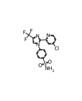 NS(=O)(=O)c1ccc(-n2cc(C(F)(F)F)nc2-c2cc(Cl)ccn2)cc1